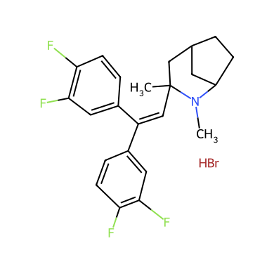 Br.CN1C2CCC(C2)CC1(C)C=C(c1ccc(F)c(F)c1)c1ccc(F)c(F)c1